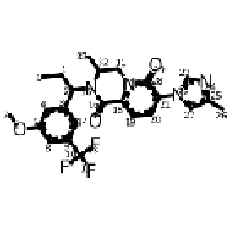 CCC(c1cc(OC)cc(C(F)(F)F)c1)N1C(=O)c2ccc(-n3cnc(C)c3)c(=O)n2CC1C